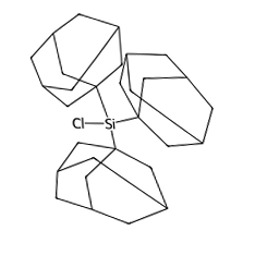 Cl[Si](C12CC3CC(CC(C3)C1)C2)(C12CC3CC(CC(C3)C1)C2)C12CC3CC(CC(C3)C1)C2